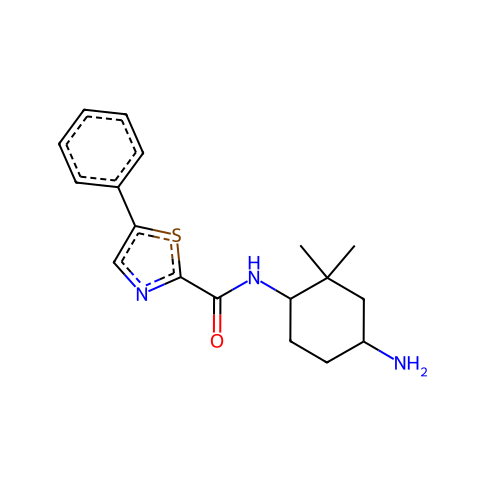 CC1(C)CC(N)CCC1NC(=O)c1ncc(-c2ccccc2)s1